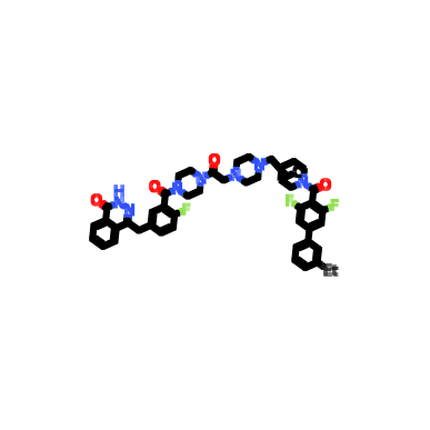 CCc1cccc(-c2cc(F)c(C(=O)N3CC4CCC3CC4CN3CCN(CC(=O)N4CCN(C(=O)c5cc(Cc6n[nH]c(=O)c7ccccc67)ccc5F)CC4)CC3)c(F)c2)c1